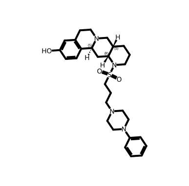 O=S(=O)(CCCN1CCN(c2ccccc2)CC1)N1CCC[C@H]2CN3CCc4cc(O)ccc4[C@@H]3C[C@H]21